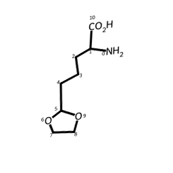 NC(CCCC1OCCO1)C(=O)O